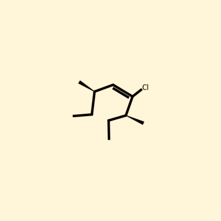 CC[C@@H](C)/C=C(/Cl)[C@@H](C)CC